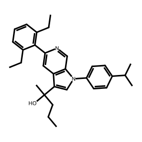 CCCC(C)(O)c1cn(-c2ccc(C(C)C)cc2)c2cnc(-c3c(CC)cccc3CC)cc12